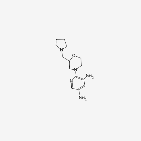 Nc1cnc(N2CCOC(CN3CCCC3)C2)c(N)c1